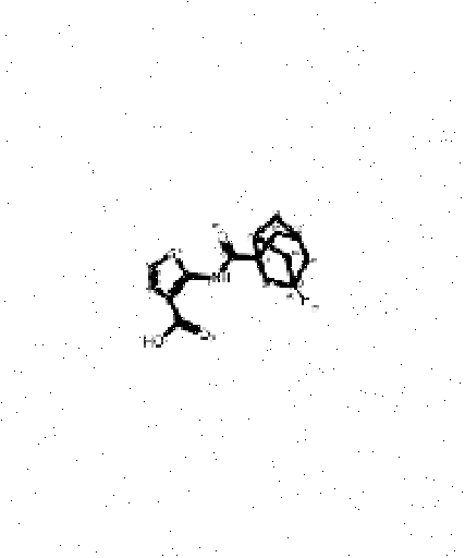 O=C(O)c1ccsc1NC(=O)C12CC3CC1C[C@@H](C3)C2